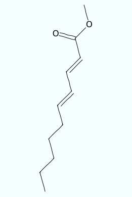 CCCCCC=C/C=C/C(=O)OC